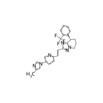 Cc1cn(-c2ccc(/C=C/c3nc4n(n3)CCC[C@@H]4c3ccccc3C(F)(F)F)nc2)cn1